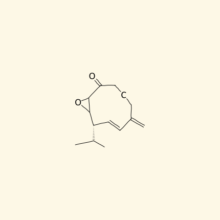 C=C1/C=C/[C@H](C(C)C)C2OC2C(=O)CCC1